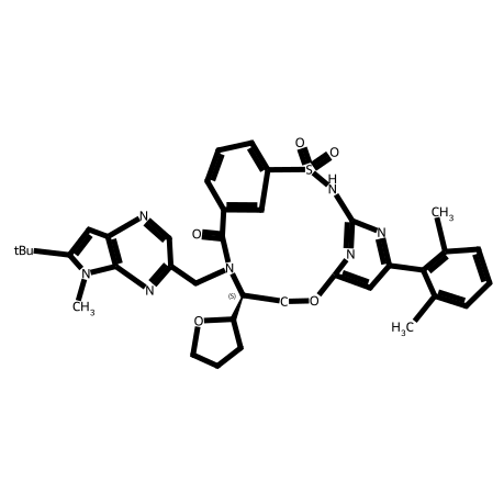 Cc1cccc(C)c1-c1cc2nc(n1)NS(=O)(=O)c1cccc(c1)C(=O)N(Cc1cnc3cc(C(C)(C)C)n(C)c3n1)[C@H](C1CCCO1)CO2